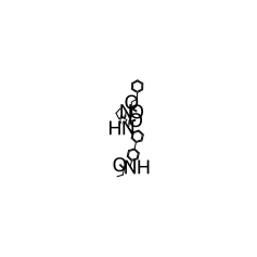 CCC(=O)Nc1ccc(-c2cccc(NC(=O)[C@@H]3CCCN3C(=O)OCc3ccccc3)c2)cc1